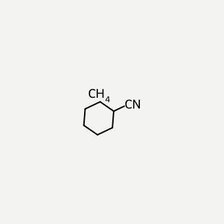 C.N#CC1CCCCC1